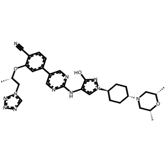 C[C@@H]1CN([C@H]2CC[C@H](n3cc(Nc4ncc(-c5ccc(C#N)c(O[C@@H](C)Cn6cnnn6)c5)cn4)c(O)n3)CC2)C[C@H](C)O1